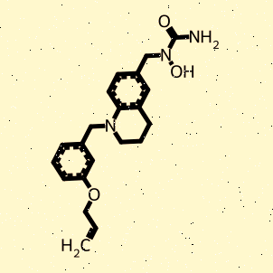 C=CCOc1cccc(CN2CCCc3cc(CN(O)C(N)=O)ccc32)c1